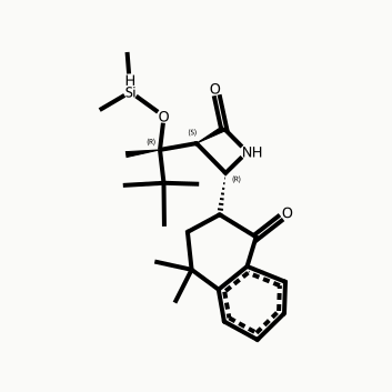 C[SiH](C)O[C@](C)([C@H]1C(=O)N[C@@H]1C1CC(C)(C)c2ccccc2C1=O)C(C)(C)C